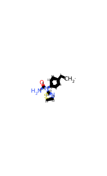 [CH2]Cc1ccc(N(C(N)=O)c2nccs2)cc1